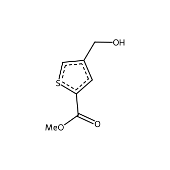 COC(=O)c1cc(CO)cs1